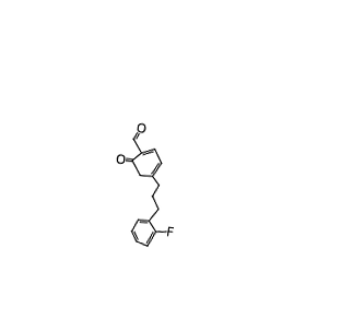 O=CC1=CC=C(CCCc2ccccc2F)CC1=O